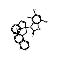 COc1ccc2ccccc2c1CC1(C2C(=O)Nc3c(Br)cc(Br)c(C)c32)C=Cc2ccccc21